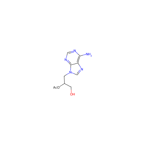 CC(=O)OC(CO)Cn1cnc2c(N)ncnc21